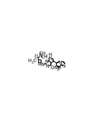 COc1nc(N[C@H]2C[C@](C)(C(=O)N(C)C)C2)nc2[nH]cc(-c3cc(F)c4nccn4c3)c12